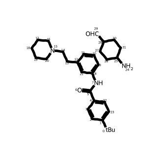 CC(C)(C)c1ccc(C(=O)Nc2cccc(CCN3CCCCC3)c2)cc1.NC1CCC(C=O)CC1